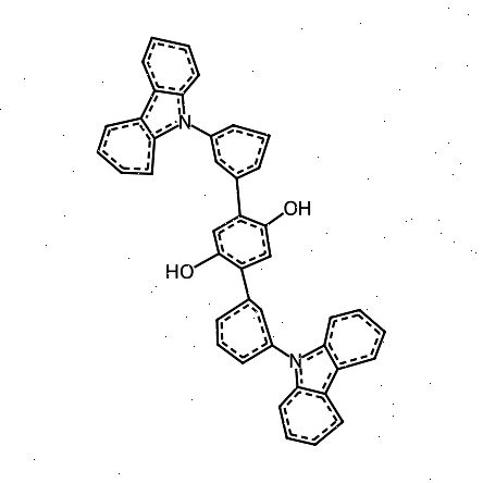 Oc1cc(-c2cccc(-n3c4ccccc4c4ccccc43)c2)c(O)cc1-c1cccc(-n2c3ccccc3c3ccccc32)c1